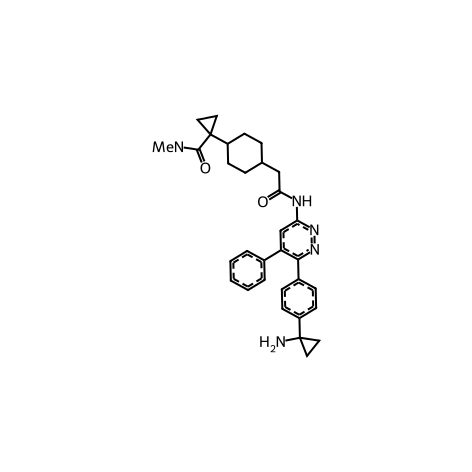 CNC(=O)C1(C2CCC(CC(=O)Nc3cc(-c4ccccc4)c(-c4ccc(C5(N)CC5)cc4)nn3)CC2)CC1